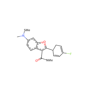 CNC(=O)c1c(C2C=CC(F)=CC2)oc2cc(N(C)SC)ccc12